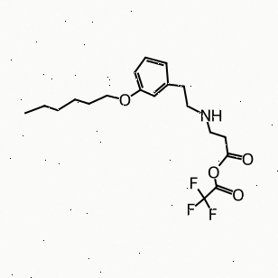 CCCCCCOc1cccc(CCNCCC(=O)OC(=O)C(F)(F)F)c1